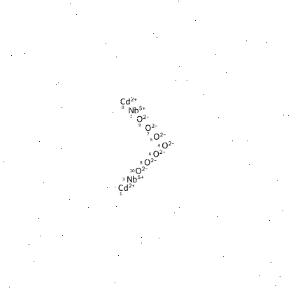 [Cd+2].[Cd+2].[Nb+5].[Nb+5].[O-2].[O-2].[O-2].[O-2].[O-2].[O-2].[O-2]